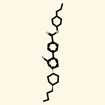 CCCC[C@H]1CC[C@H](c2ccc(-c3ccc(C(=O)OC4CCC(CCC)CC4)cc3)c(F)c2)CC1